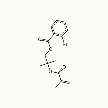 C=C(C)C(=O)OC(C)(C)COC(=O)c1ccccc1CC